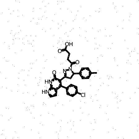 Cc1ccc(C2CC(c3c(-c4ccc(Cl)cc4)c4cc[nH]c4[nH]c3=O)=NN2C(=O)CCC(=O)O)cc1